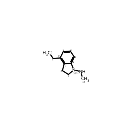 CCc1cccc2c1CCN2NC